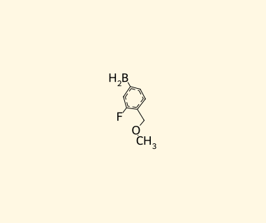 Bc1ccc(COC)c(F)c1